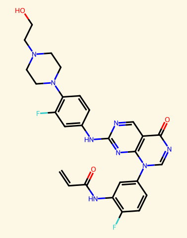 C=CC(=O)Nc1cc(-n2cnc(=O)c3cnc(Nc4ccc(N5CCN(CCO)CC5)c(F)c4)nc32)ccc1F